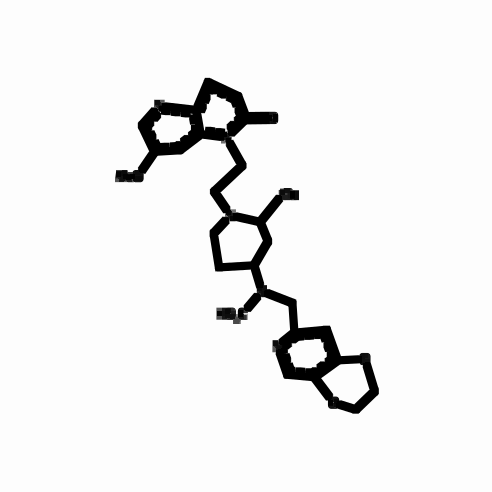 COc1cnc2ccc(=O)n(CCN3CCC(N(Cc4cc5c(cn4)OCCO5)C(=O)O)CC3C(C)(C)C)c2c1